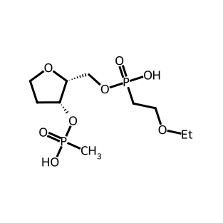 CCOCCP(=O)(O)OC[C@H]1OCC[C@H]1OP(C)(=O)O